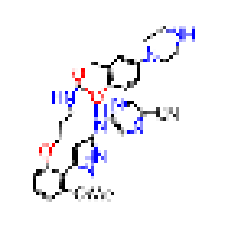 COc1cccc(OCCCNC(=O)Oc2ccc(N3CCNCC3)cc2C)c1-c1cc(Nc2cnc(C#N)cn2)n[nH]1